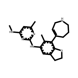 CNc1cc(C)nc(Nc2cc3c(c(C4=CCNCCC4)c2C)OCC3)n1